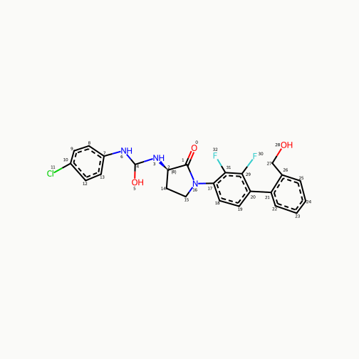 O=C1[C@H](NC(O)Nc2ccc(Cl)cc2)CCN1c1ccc(-c2ccccc2CO)c(F)c1F